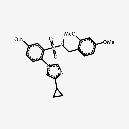 COc1ccc(CNS(=O)(=O)c2cc([N+](=O)[O-])ccc2-n2cnc(C3CC3)c2)c(OC)c1